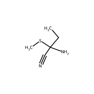 CCC(N)(C#N)SC